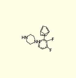 C1CNCCN1.Fc1cccc(C2C3=CC=C2C=C3)c1F